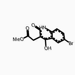 COC(=O)Cc1c(O)c2cc(Br)ccc2[nH]c1=O